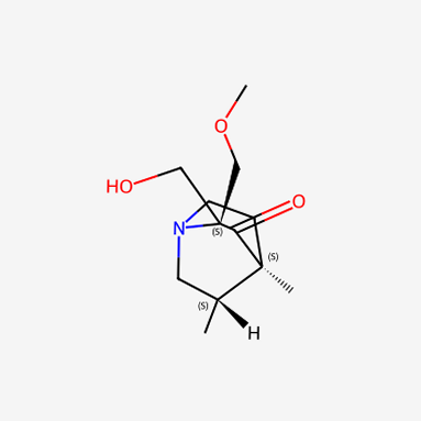 COC[C@@]1(CO)C(=O)[C@@]2(C)CCN1C[C@H]2C